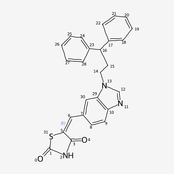 O=C1NC(=O)/C(=C\c2ccc3ncn(CCC(c4ccccc4)c4ccccc4)c3c2)S1